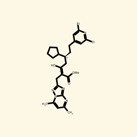 CCc1cc(CC[C@@H](C/C(O)=C(/Cc2nc3nc(C)cc(C)n3n2)C(=O)OC)C2CCCC2)cc(CC)n1